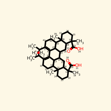 CC(C)C1=C2C3=C(C(C)C)CCC4C3C(CC3C(C)(C(=O)O)CCCC43C)C3CC4C(C)(C(=O)O)CCCC4(C)C(CC1)C23